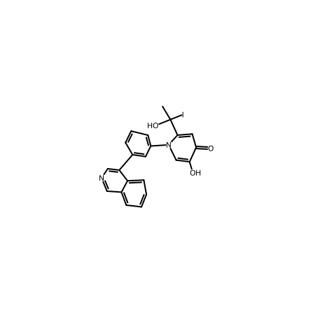 CC(O)(I)c1cc(=O)c(O)cn1-c1cccc(-c2cncc3ccccc23)c1